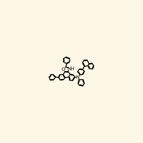 c1ccc(-c2ccc3c(c2)c2c(c4cc(N(c5ccccc5)c5ccc(-c6cccc7ccccc67)cc5)ccc43)NC(c3ccccc3)O2)cc1